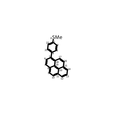 CSc1ccc(-c2ccc3ccc4cccc5ccc2c3c45)cc1